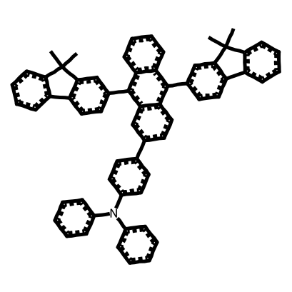 CC1(C)c2ccccc2-c2ccc(-c3c4ccccc4c(-c4ccc5c(c4)C(C)(C)c4ccccc4-5)c4cc(-c5ccc(N(c6ccccc6)c6ccccc6)cc5)ccc34)cc21